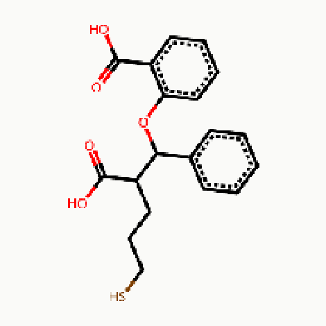 O=C(O)c1ccccc1OC(c1ccccc1)C(CCCS)C(=O)O